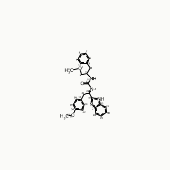 COCC(Cc1ccccc1)NC(=O)/N=C(\Cc1ccc(OC)cc1)c1nc2ccccc2[nH]1